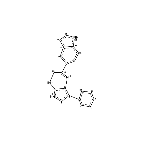 c1ccc(-c2c[nH]c3c2N=C(c2ccc4[nH]ccc4c2)CN3)cc1